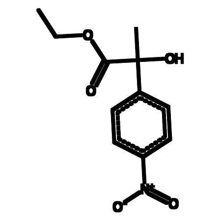 CCOC(=O)C(C)(O)c1ccc([N+](=O)[O-])cc1